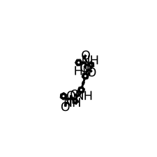 O=CN[C@@H](C(=O)N1CCC[C@H]1C(=O)Nc1ccc(C#Cc2ccc(NC(=O)[C@@H]3CCCN3C(=O)[C@H](NC=O)c3ccccc3)cc2)cc1)c1ccccc1